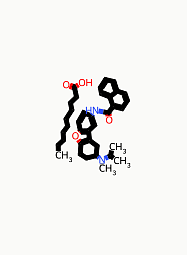 CC(C)N(C)C1CCc2oc3ccc(NC(=O)c4cccc5ccccc45)cc3c2C1.CCCCCCCCCC(=O)O